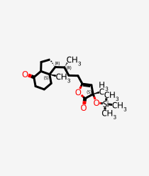 C[C@H](CCC1=C[C@](C)(O[Si](C)(C)C)C(=O)O1)[C@H]1CCC2C(=O)CCC[C@]21C